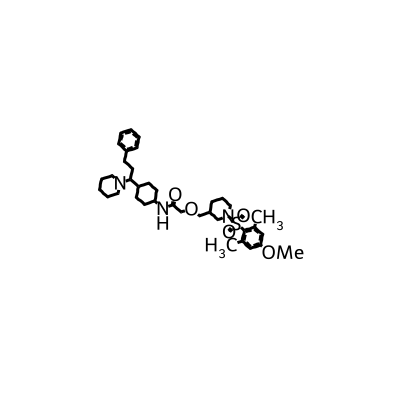 COc1cc(C)c(S(=O)(=O)N2CCCC(COCC(=O)NC3CCC(C(CCc4ccccc4)N4CCCCC4)CC3)C2)c(C)c1